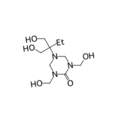 CCC(CO)(CO)N1CN(CO)C(=O)N(CO)C1